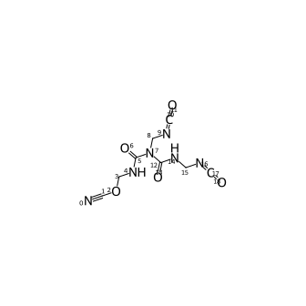 N#COCNC(=O)N(CN=C=O)C(=O)NCN=C=O